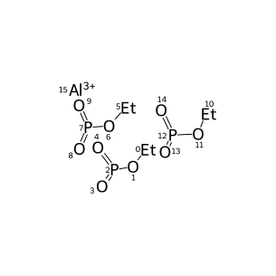 CCOP(=O)=O.CCOP(=O)=O.CCOP(=O)=O.[Al+3]